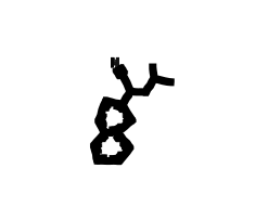 CC(C)CC(C#N)c1ccc2ccccc2c1